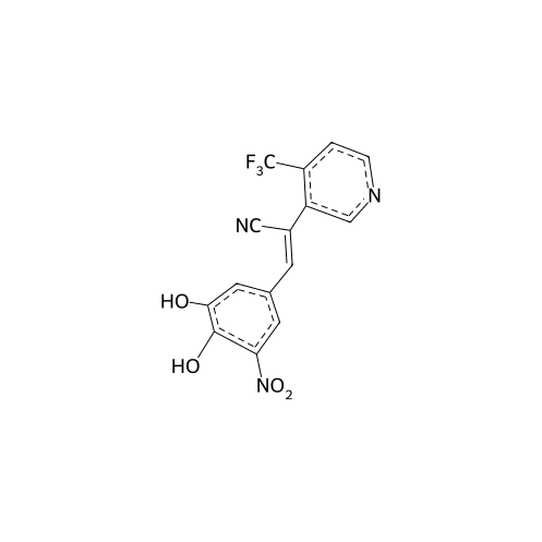 N#C/C(=C\c1cc(O)c(O)c([N+](=O)[O-])c1)c1cnccc1C(F)(F)F